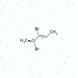 C/C=C(\Br)[C@H](C)Br